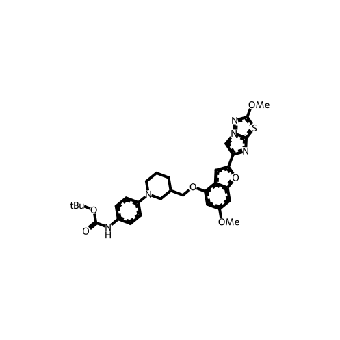 COc1cc(OCC2CCCN(c3ccc(NC(=O)OC(C)(C)C)cc3)C2)c2cc(-c3cn4nc(OC)sc4n3)oc2c1